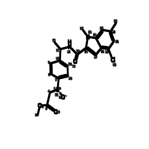 COC(=O)C[S@@+]([O-])c1ccc(C(C)NC(=O)c2cc3c(Cl)cc(C)cc3n2C)cc1